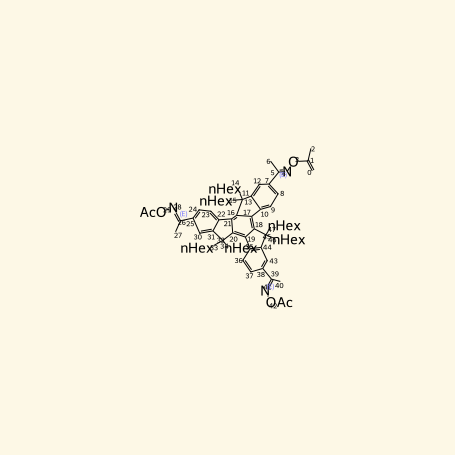 C=C(C)O/N=C(\C)c1ccc2c(c1)C(CCCCCC)(CCCCCC)c1c-2c2c(c3c1-c1ccc(/C(C)=N/OC(C)=O)cc1C3(CCCCCC)CCCCCC)-c1ccc(/C(C)=N/OC(C)=O)cc1C2(CCCCCC)CCCCCC